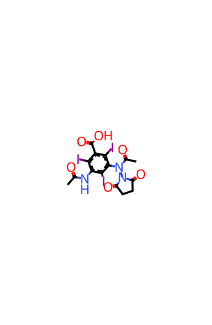 CC(=O)Nc1c(I)c(C(=O)O)c(I)c(N(C(C)=O)N2C(=O)CCC2=O)c1I